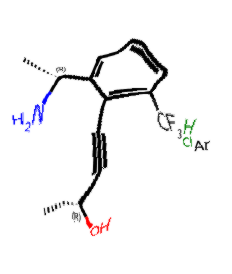 C[C@@H](O)C#Cc1c([C@@H](C)N)cccc1C(F)(F)F.Cl.[Ar]